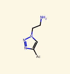 CC(=O)c1cn(CCN)nn1